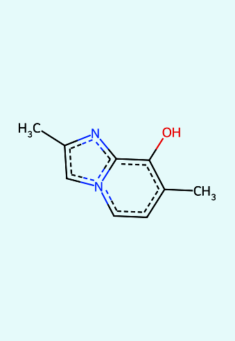 Cc1cn2ccc(C)c(O)c2n1